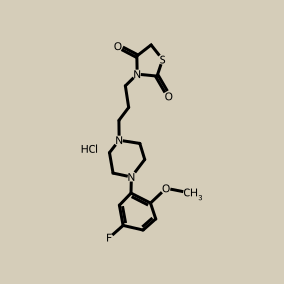 COc1ccc(F)cc1N1CCN(CCCN2C(=O)CSC2=O)CC1.Cl